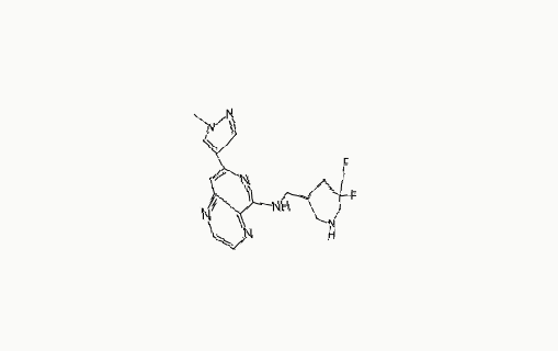 Cn1cc(-c2cc3nccnc3c(NCC3CNCC(F)(F)C3)n2)cn1